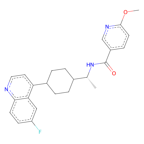 COc1ccc(C(=O)N[C@H](C)C2CCC(c3ccnc4ccc(F)cc34)CC2)cn1